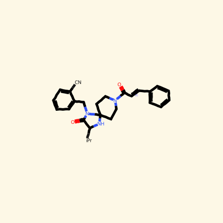 CC(C)C1NC2(CCN(C(=O)/C=C/c3ccccc3)CC2)N(Cc2ccccc2C#N)C1=O